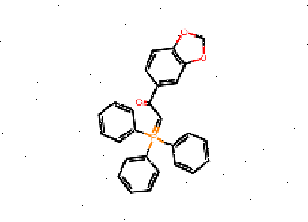 O=C(C=P(c1ccccc1)(c1ccccc1)c1ccccc1)c1ccc2c(c1)OCO2